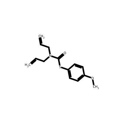 C=CCN(CC=C)C(=O)Sc1ccc(OC)cc1